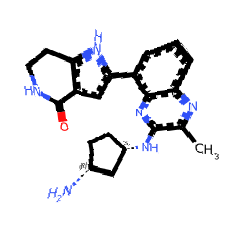 Cc1nc2cccc(-c3cc4c([nH]3)CCNC4=O)c2nc1N[C@H]1CC[C@@H](N)C1